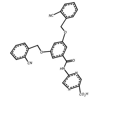 N#Cc1ccccc1COc1cc(OCc2ccccc2C#N)cc(C(=O)Nc2cnc(C(=O)O)cn2)c1